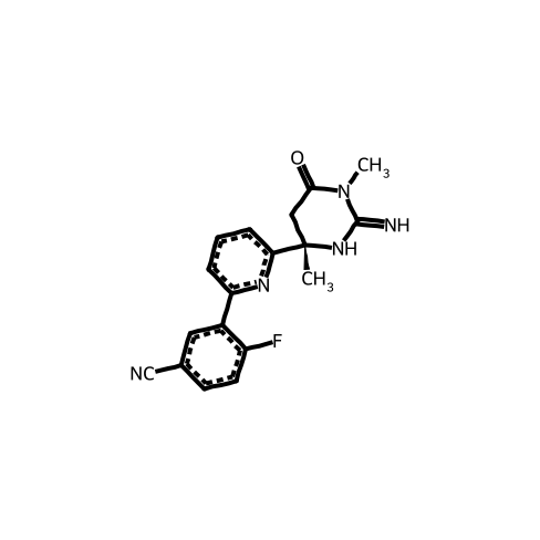 CN1C(=N)N[C@](C)(c2cccc(-c3cc(C#N)ccc3F)n2)CC1=O